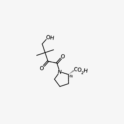 CC(C)(CO)C(=O)C(=O)N1CCC[C@H]1C(=O)O